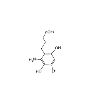 CCCCCCCCCCCc1c(O)cc(CC)c(O)c1N